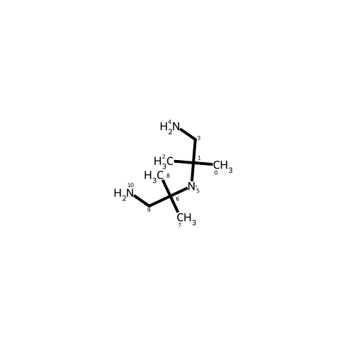 CC(C)(CN)[N]C(C)(C)CN